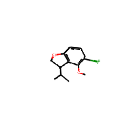 COc1c(F)ccc2c1C(C(C)C)CO2